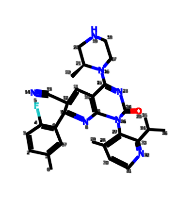 Cc1ccc(F)c(-c2nc3c(cc2C#N)c(N2CCNC[C@@H]2C)nc(=O)n3-c2c(C)ccnc2C(C)C)c1